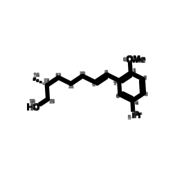 COc1ccc(C(C)C)cc1/C=C/CCC[C@@H](C)CO